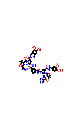 CN[C@@H](C)C(=O)N[C@H](C(=O)N1C[C@@H](NC(=O)c2cccc(C(=O)N[C@H]3C[C@@H](C(=O)NCc4ccc(O)c(OC)c4)N(C(=O)[C@@H](NC(=O)[C@H](C)NC)C(C)(C)C)C3)c2)C[C@H]1C(=O)NCc1ccc(O)c(OC)c1)C(C)(C)C